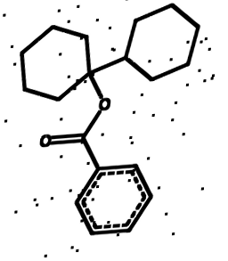 O=C(OC1(C2CCCCC2)CCCCC1)c1ccccc1